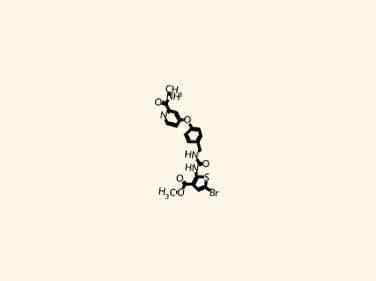 CNC(=O)c1cc(Oc2ccc(CNC(=O)Nc3sc(Br)cc3C(=O)OC)cc2)ccn1